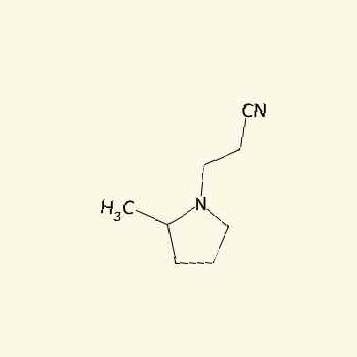 CC1CCCN1CCC#N